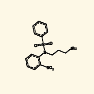 CC(C)(C)CCCN(c1ccccc1[N+](=O)[O-])S(=O)(=O)c1ccccc1